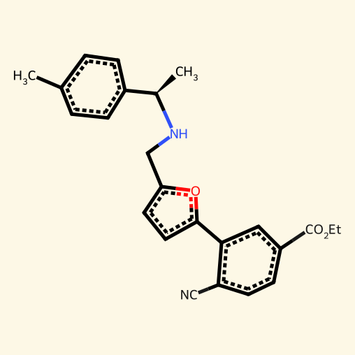 CCOC(=O)c1ccc(C#N)c(-c2ccc(CN[C@H](C)c3ccc(C)cc3)o2)c1